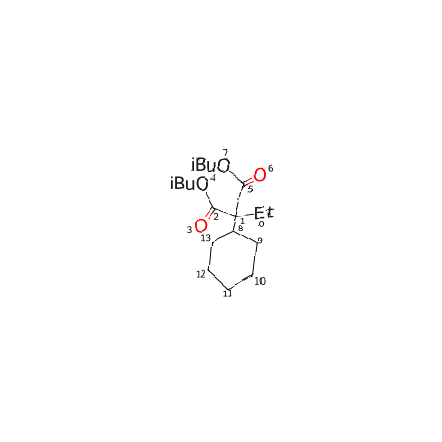 CCC(C(=O)OCC(C)C)(C(=O)OCC(C)C)C1CCCCC1